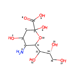 NC1C(O)CC(O)(C(=O)O)OC1C(O)[C@H](O)CO